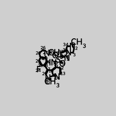 CN1CCn2nc(S(=O)(=O)Nc3ccnc4c3c(-c3cc5c(cc3F)CCN5C)cn4C)cc2C1